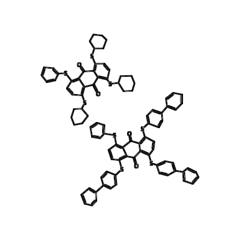 O=C1c2c(Sc3ccccc3)ccc(SC3CCCCC3)c2C(=O)c2c(SC3CCCCC3)ccc(SC3CCCCC3)c21.O=C1c2c(Sc3ccccc3)ccc(Sc3ccc(-c4ccccc4)cc3)c2C(=O)c2c(Sc3ccc(-c4ccccc4)cc3)ccc(Sc3ccc(-c4ccccc4)cc3)c21